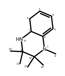 CN1C2=CC=CCC2NC(C)(C)C1(C)C